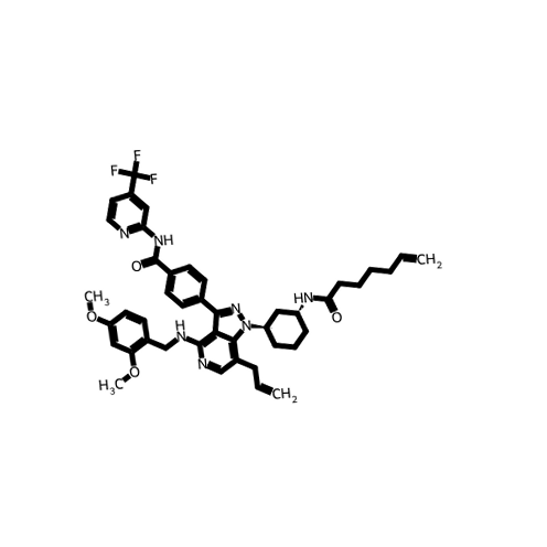 C=CCCCCC(=O)N[C@@H]1CCC[C@@H](n2nc(-c3ccc(C(=O)Nc4cc(C(F)(F)F)ccn4)cc3)c3c(NCc4ccc(OC)cc4OC)ncc(CC=C)c32)C1